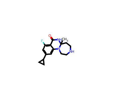 CC12CCNCCN1c1cc(C3CC3)cc(F)c1C(=O)N2